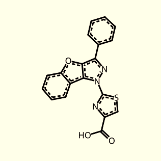 O=C(O)c1csc(-n2nc(-c3ccccc3)c3oc4ccccc4c32)n1